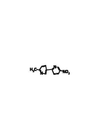 Cc1ccc(-c2ccc([N+](=O)[O-])cn2)cn1